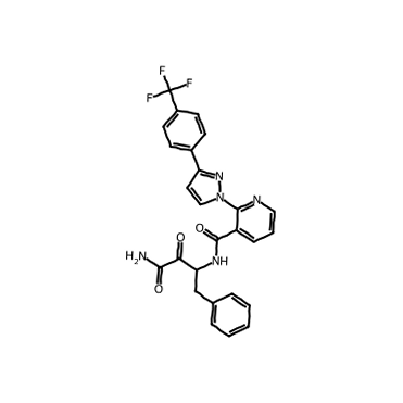 NC(=O)C(=O)C(Cc1ccccc1)NC(=O)c1cccnc1-n1ccc(-c2ccc(C(F)(F)F)cc2)n1